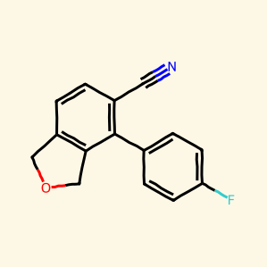 N#Cc1ccc2c(c1-c1ccc(F)cc1)COC2